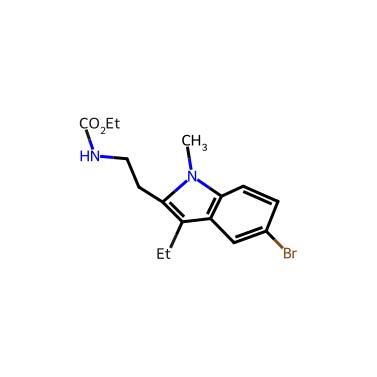 CCOC(=O)NCCc1c(CC)c2cc(Br)ccc2n1C